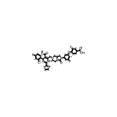 COC(=O)C1=C(CN2CCN3C(=O)N(c4cc(F)cc(Oc5ccc(C(=O)O)cc5F)c4)CC3C2)NC(c2nccs2)=NC1c1ccc(F)cc1Cl